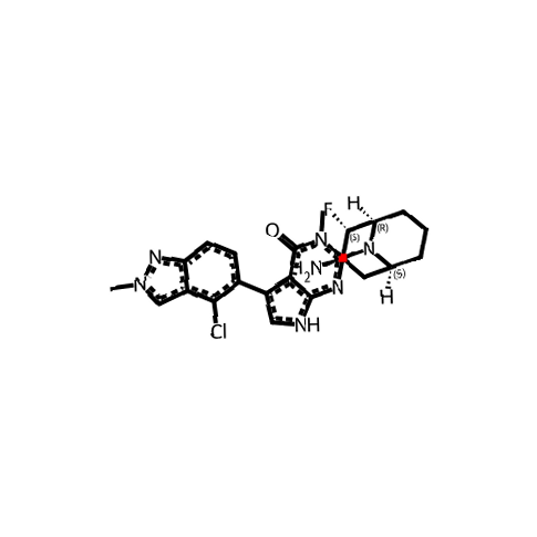 Cn1cc2c(Cl)c(-c3c[nH]c4nc(N5[C@H]6CCC[C@@H]5[C@@H](F)[C@H](N)C6)n(C)c(=O)c34)ccc2n1